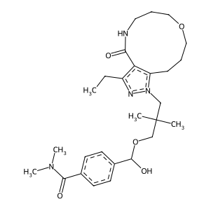 CCc1nn(CC(C)(C)COC(O)c2ccc(C(=O)N(C)C)cc2)c2c1C(=O)NCCCOCCC2